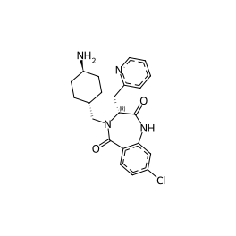 N[C@H]1CC[C@H](CN2C(=O)c3ccc(Cl)cc3NC(=O)[C@H]2Cc2ccccn2)CC1